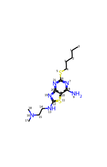 CCCCCSc1nc(N)c2sc(NCCN(C)C)nc2n1